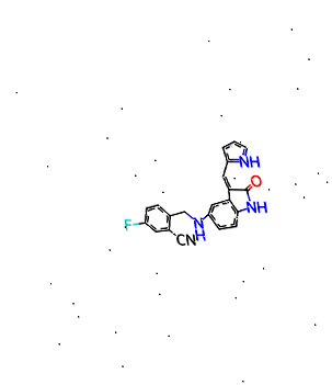 N#Cc1cc(F)ccc1CNc1ccc2c(c1)C(=Cc1ccc[nH]1)C(=O)N2